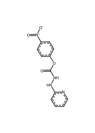 O=C(NNc1ccccn1)Oc1ccc([N+](=O)[O-])cc1